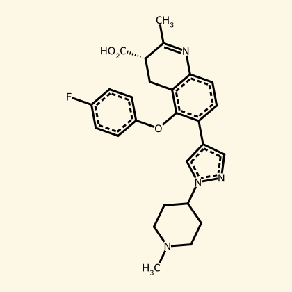 CC1=Nc2ccc(-c3cnn(C4CCN(C)CC4)c3)c(Oc3ccc(F)cc3)c2C[C@@H]1C(=O)O